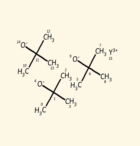 CC(C)(C)[O-].CC(C)(C)[O-].CC(C)(C)[O-].[Y+3]